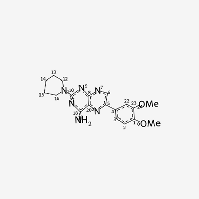 COc1ccc(-c2cnc3nc(N4CCCCC4)nc(N)c3n2)cc1OC